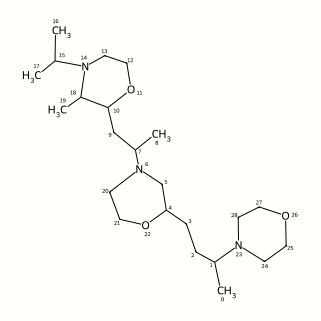 CC(CCC1CN(C(C)CC2OCCN(C(C)C)C2C)CCO1)N1CCOCC1